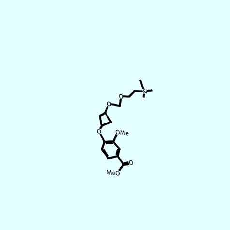 COC(=O)c1ccc(OC2CC(OCOCC[Si](C)(C)C)C2)c(OC)c1